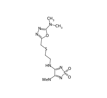 CNC1=NS(=O)(=O)N=C1NCCSCc1nnc(N(C)C)o1